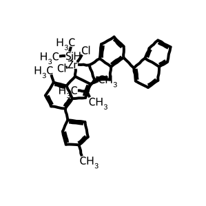 CC1=Cc2c(-c3ccc(C)cc3)ccc(C)c2[CH]1[Zr]([Cl])([Cl])([CH]1C(C(C)C)=Cc2c(-c3cccc4ccccc34)cccc21)[SiH](C)C